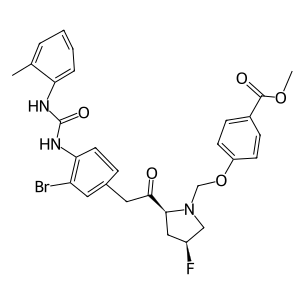 COC(=O)c1ccc(OCN2C[C@@H](F)C[C@H]2C(=O)Cc2ccc(NC(=O)Nc3ccccc3C)c(Br)c2)cc1